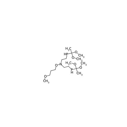 COCCCON(CCPC(C)(OC)OC)CCPC(C)(OC)OC